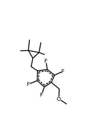 COCc1c(F)c(F)c(CC2C(C)(C)C2(C)C)c(F)c1F